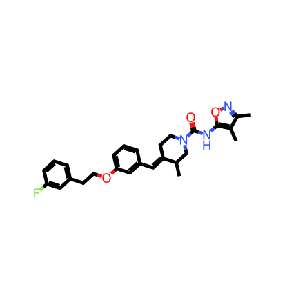 Cc1noc(NC(=O)N2CC/C(=C\c3cccc(OCCc4cccc(F)c4)c3)C(C)C2)c1C